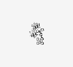 [2H]c1c([2H])c([2H])c(-c2cc(-c3c([2H])c([2H])c([2H])c([2H])c3[2H])cc(N(c3ccccc3)c3ccc(-c4ccc5c(c4)C(c4ccccc4)(c4ccccc4)c4ccccc4-5)cc3)c2)c([2H])c1[2H]